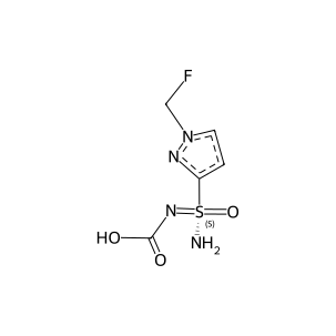 N[S@](=O)(=NC(=O)O)c1ccn(CF)n1